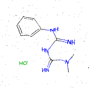 CN(C)C(=N)NC(=N)Nc1ccccc1.Cl